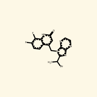 CC(C)C(C)c1nc2nccnc2n1Cc1cc(=O)[nH]c2c(F)c(F)ccc12